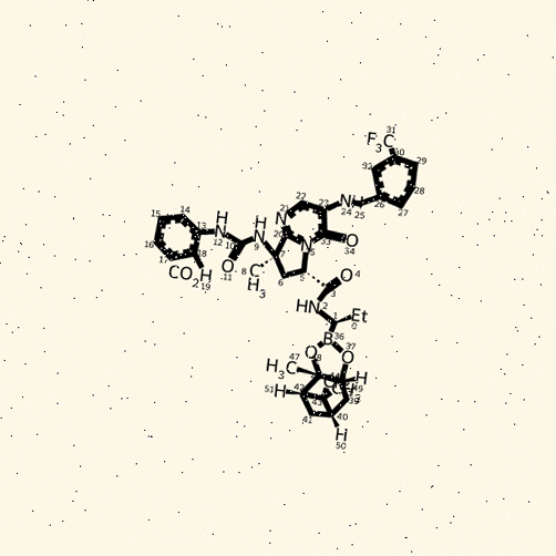 CC[C@H](NC(=O)[C@@H]1C[C@@](C)(NC(=O)Nc2ccccc2C(=O)O)c2ncc(NCc3cccc(C(F)(F)F)c3)c(=O)n21)B1O[C@@H]2C[C@@H]3C[C@@H](C3(C)C)[C@]2(C)O1